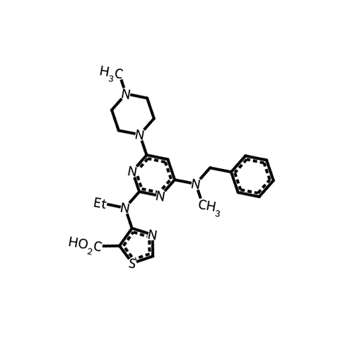 CCN(c1nc(N(C)Cc2ccccc2)cc(N2CCN(C)CC2)n1)c1ncsc1C(=O)O